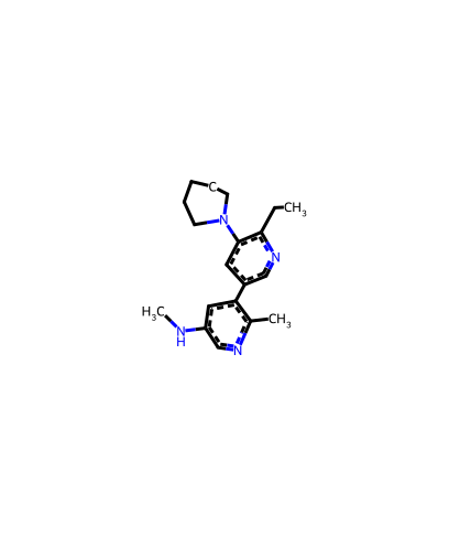 CCc1ncc(-c2cc(NC)cnc2C)cc1N1CCCCC1